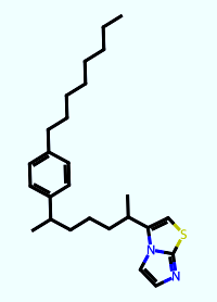 CCCCCCCCc1ccc(C(C)CCCC(C)c2csc3nccn23)cc1